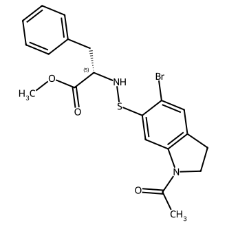 COC(=O)[C@H](Cc1ccccc1)NSc1cc2c(cc1Br)CCN2C(C)=O